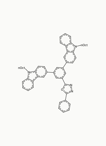 CCCCCCCCn1c2ccccc2c2cc(-c3cc(-c4ccc5c(c4)c4ccccc4n5CCCCCCCC)cc(-c4nnc(-c5ccccc5)o4)c3)ccc21